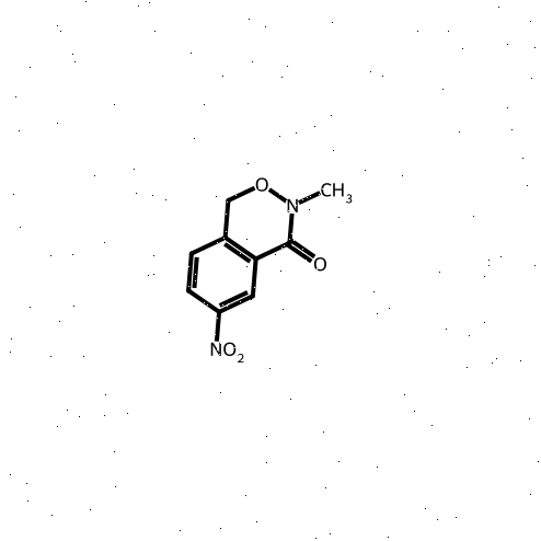 CN1OCc2ccc([N+](=O)[O-])cc2C1=O